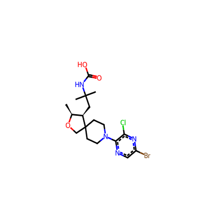 C[C@@H]1OCC2(CCN(c3ncc(Br)nc3Cl)CC2)[C@@H]1CC(C)(C)NC(=O)O